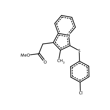 COC(=O)Cc1c(C)c(Sc2ccc(Cl)cc2)n2ccccc12